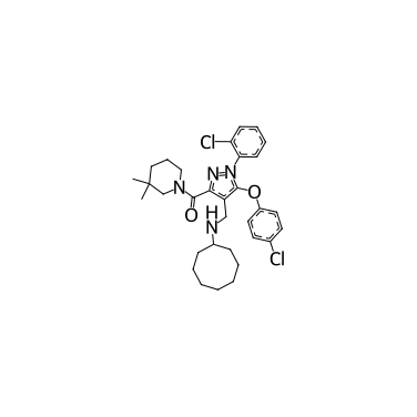 CC1(C)CCCN(C(=O)c2nn(-c3ccccc3Cl)c(Oc3ccc(Cl)cc3)c2CNC2CCCCCCC2)C1